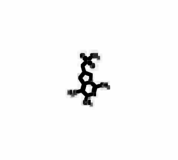 CC1=N[C@@H](C)C(C)=C2CC(CS(C)(=O)=O)CN12